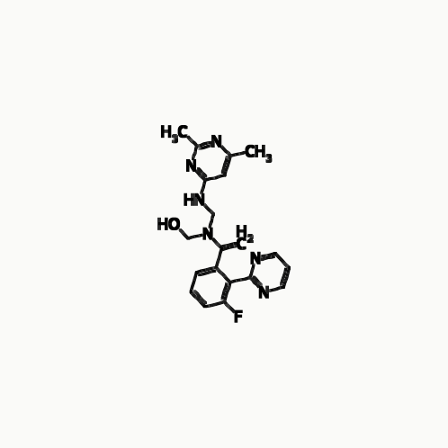 C=C(c1cccc(F)c1-c1ncccn1)N(CO)CNc1cc(C)nc(C)n1